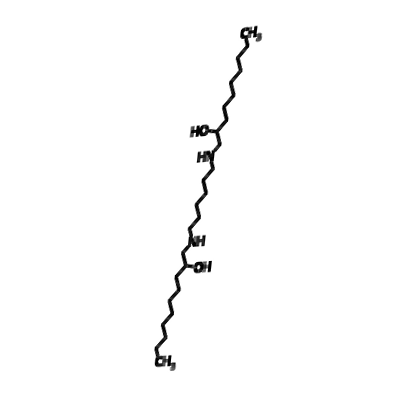 CCCCCCCCC(O)CNCCCCCCNCC(O)CCCCCCCC